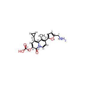 Cc1c(-c2ccc(CN)o2)ccn2c(=O)c(OC(=O)O)cc(C3CC3)c12